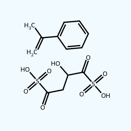 C=C(C)c1ccccc1.O=C(CC(O)C(=O)S(=O)(=O)O)S(=O)(=O)O